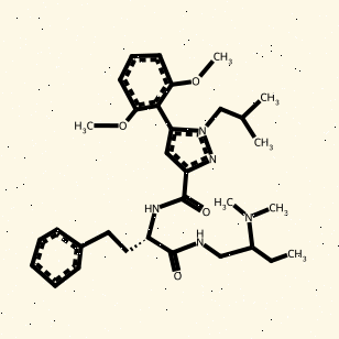 CCC(CNC(=O)[C@H](CCc1ccccc1)NC(=O)c1cc(-c2c(OC)cccc2OC)n(CC(C)C)n1)N(C)C